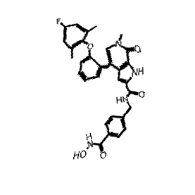 Cc1cc(F)cc(C)c1Oc1ccccc1-c1cn(C)c(=O)c2[nH]c(C(=O)NCc3ccc(C(=O)NO)cc3)cc12